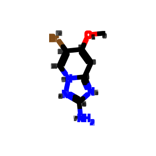 COc1cc2nc(N)nn2cc1Br